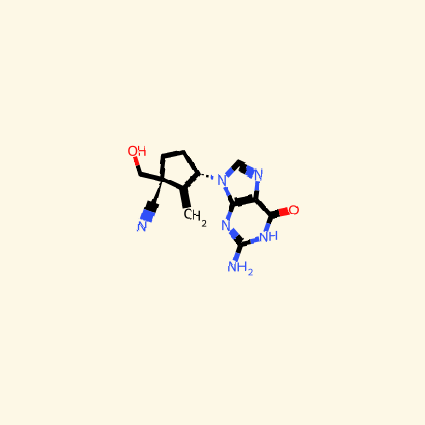 C=C1[C@@H](n2cnc3c(=O)[nH]c(N)nc32)CC[C@@]1(C#N)CO